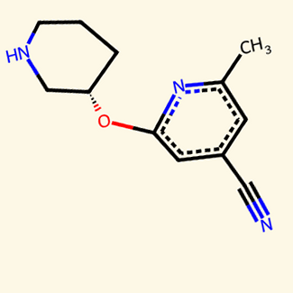 Cc1cc(C#N)cc(O[C@H]2CCCNC2)n1